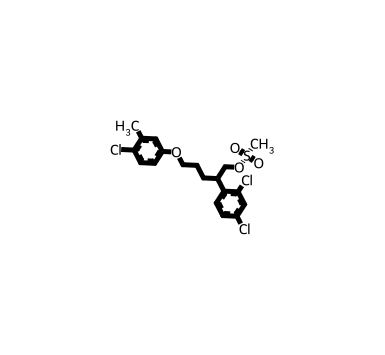 Cc1cc(OCCCC(COS(C)(=O)=O)c2ccc(Cl)cc2Cl)ccc1Cl